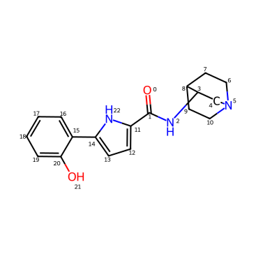 O=C(NC1CN2CCC1CC2)c1ccc(-c2ccccc2O)[nH]1